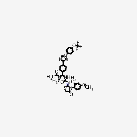 COc1ccc(N2C(=O)CS/C2=N\C(=O)NC(c2ccc(-c3ncn(-c4ccc(OC(F)(F)F)cc4)n3)cc2)N(C)C(C)=O)c(C)c1